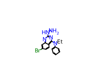 CCN(c1ccccc1)c1nc(NN)nc2cc(Br)ccc12